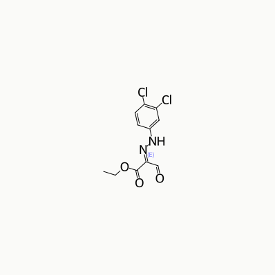 CCOC(=O)/C(C=O)=N/Nc1ccc(Cl)c(Cl)c1